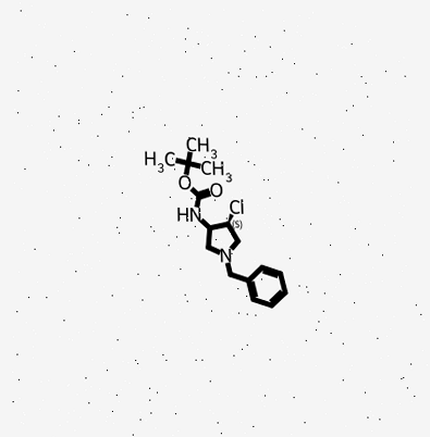 CC(C)(C)OC(=O)NC1CN(Cc2ccccc2)C[C@@H]1Cl